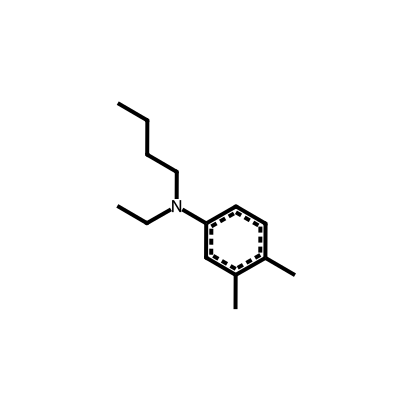 CCCCN(CC)c1ccc(C)c(C)c1